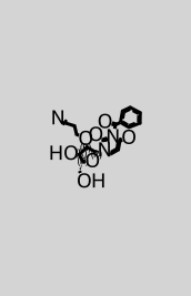 N#CCCO[C@@H]1[C@H](O)[C@@H](CO)O[C@H]1n1ccc(=O)n(C(=O)c2ccccc2)c1=O